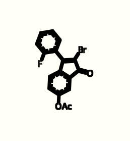 CC(=O)Oc1ccc2c(c1)C(=O)C(Br)=C2c1ccccc1F